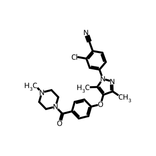 Cc1nn(-c2ccc(C#N)c(Cl)c2)c(C)c1Oc1ccc(C(=O)N2CCN(C)CC2)cc1